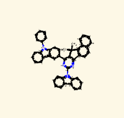 CC1(C)c2c(-c3ccc4c(c3)c3ccccc3n4-c3ccccc3)nc(-n3c4ccccc4c4ccccc43)nc2-c2ccc3ccccc3c21